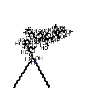 CCCCCCCCCCCCC/C=C/[C@@H](O)[C@H](CO[C@@H]1OC(CO)[C@@H](O[C@@H]2OC(CO)[C@H](O)[C@H](O[C@@H]3OC(CO)[C@@H](O[C@@H]4OC(CO)[C@H](O)[C@H](O[C@]5(C(=O)O)CC(O)[C@@H](NC(=O)CO)C([C@H](O)[C@@H](CO)O[C@]6(C(=O)O)CC(O)[C@@H](NC(C)=O)C([C@H](O)[C@H](O)CO)O6)O5)C4O)[C@H](O)C3NC(C)=O)C2O)[C@H](O)C1O)NC(=O)CCCCCCCCCCCCCCC